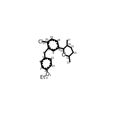 CCOc1ccc(Cc2cc(C3OC(C)CCC3C)ccc2Cl)cc1